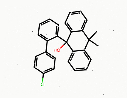 CC1(C)c2ccccc2C(O)(c2ccccc2-c2ccc(Cl)cc2)c2ccccc21